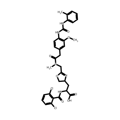 COc1cc(CC(=O)N(C)CC2=NC(CC(NC(=O)c3c(Cl)cccc3Cl)C(=O)O)CO2)ccc1NC(=O)Nc1ccccc1C